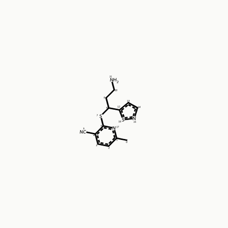 Cc1ccc(C#N)c(SC(CCN)c2ccns2)n1